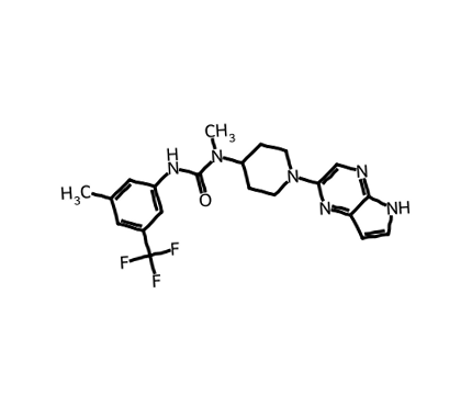 Cc1cc(NC(=O)N(C)C2CCN(c3cnc4[nH]ccc4n3)CC2)cc(C(F)(F)F)c1